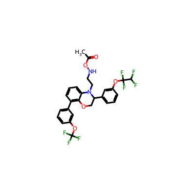 CC(=O)ONCCN1c2cccc(-c3cccc(OC(F)(F)F)c3)c2OCC1c1cccc(OC(F)(F)C(F)F)c1